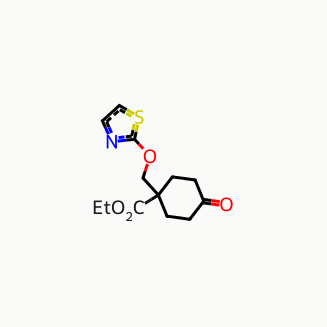 CCOC(=O)C1(COc2nccs2)CCC(=O)CC1